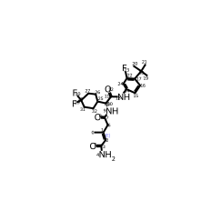 C/C(=C\C(N)=O)CC(=O)N[C@@H](C(=O)Nc1ccc(C(C)(C)C)c(F)c1)C1CCC(F)(F)CC1